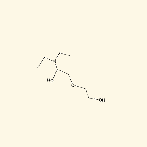 CCN(CC)C(O)COCCO